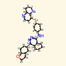 c1cnc2c(Sc3ccc(Nc4nnc(-c5ccc6occc6c5)c5ccccc45)cc3)ccnc2c1